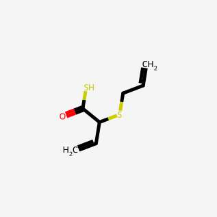 C=CCSC(C=C)C(=O)S